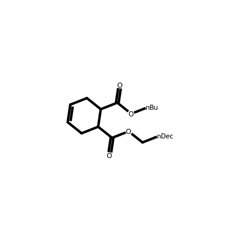 CCCCCCCCCCCOC(=O)C1CC=CCC1C(=O)OCCCC